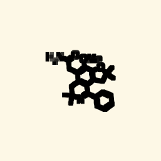 COc1c(CC(N)=O)c2c(c3c1OC(C)(C)C3)C(c1ccccc1)=NC(C)(C)C2